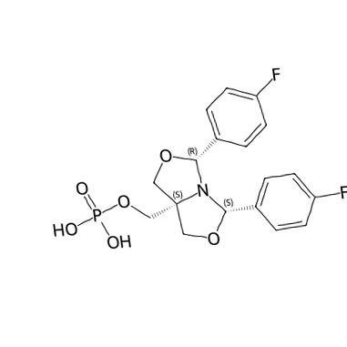 O=P(O)(O)OC[C@]12CO[C@H](c3ccc(F)cc3)N1[C@H](c1ccc(F)cc1)OC2